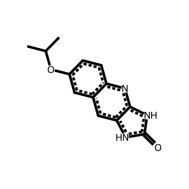 CC(C)Oc1ccc2nc3[nH]c(=O)[nH]c3cc2c1